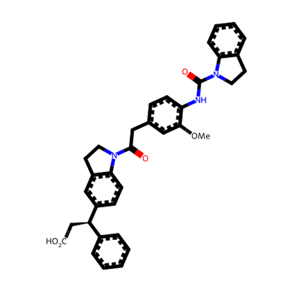 COc1cc(CC(=O)N2CCc3cc([C@H](CC(=O)O)c4ccccc4)ccc32)ccc1NC(=O)N1CCc2ccccc21